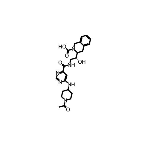 CC(=O)N1CCC(Nc2cc(C(=O)NC[C@@H](O)C3Cc4ccccc4CN3C(=O)O)ncn2)CC1